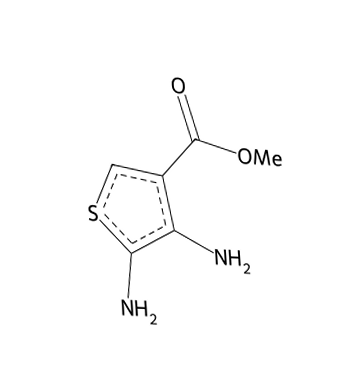 COC(=O)c1csc(N)c1N